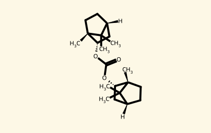 CC1(C)[C@@H]2CC[C@@]1(C)[C@@H](OC(=O)O[C@H]1C[C@H]3CC[C@]1(C)C3(C)C)C2